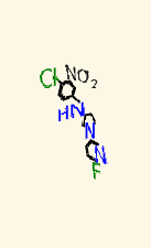 O=[N+]([O-])c1cc(CNC2CCN(c3ccc(F)nc3)C2)ccc1Cl